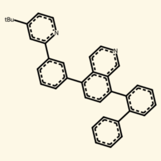 CC(C)(C)c1ccnc(-c2cccc(-c3ccc(-c4ccccc4-c4ccccc4)c4cnccc34)c2)c1